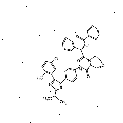 CC(C)n1cc(-c2ccc(NC(=O)[C@@H]3COCCN3C(=O)[C@H](NC(=O)c3ccccc3)c3ccccc3)cc2)c(-c2cc(Cl)ccc2O)n1